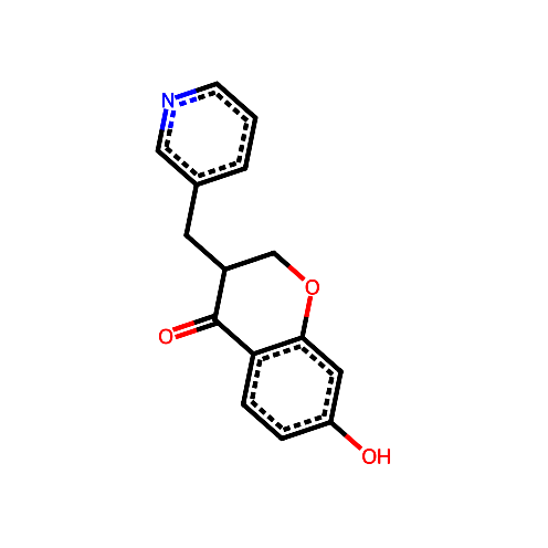 O=C1c2ccc(O)cc2OCC1Cc1cccnc1